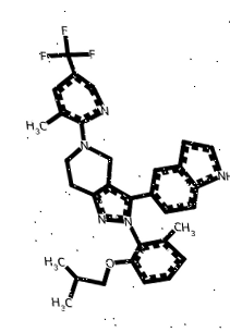 Cc1cc(C(F)(F)F)cnc1N1CCc2nn(-c3c(C)cccc3OCC(C)C)c(-c3ccc4[nH]ccc4c3)c2C1